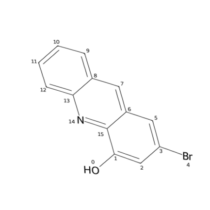 Oc1cc(Br)cc2cc3ccccc3nc12